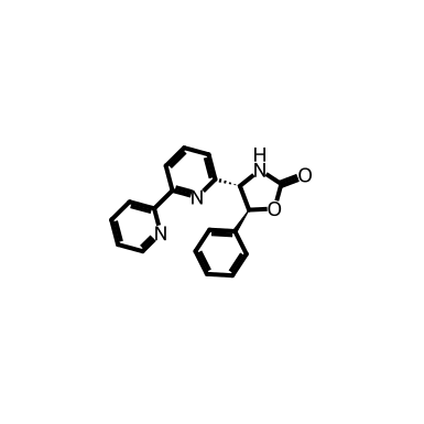 O=C1N[C@@H](c2cccc(-c3ccccn3)n2)[C@H](c2ccccc2)O1